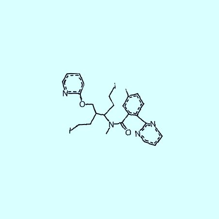 Cc1ccc(-c2ncccn2)c(C(=O)N(C)C(CCI)C(CCI)COc2ccccn2)c1